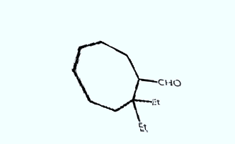 CCC1(CC)CCCCCCC1C=O